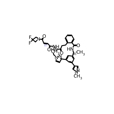 CCn1ccc(-c2cc(-c3cnn(C)c3)cc([C@@H](C)NC(=O)c3ccccc3CCC(=O)NNC(=O)/C=C/C(=O)N3CC(F)(F)C3)c2)n1